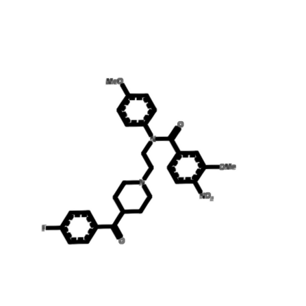 COc1ccc(N(CCN2CCC(C(=O)c3ccc(F)cc3)CC2)C(=O)c2ccc([N+](=O)[O-])c(OC)c2)cc1